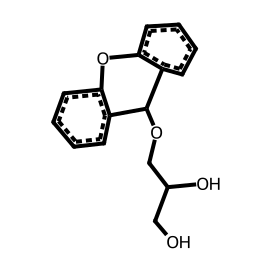 OCC(O)COC1c2ccccc2Oc2ccccc21